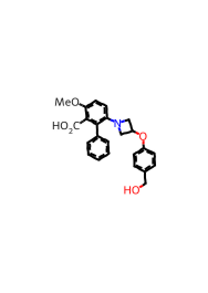 COc1ccc(N2CC(Oc3ccc(CO)cc3)C2)c(-c2ccccc2)c1C(=O)O